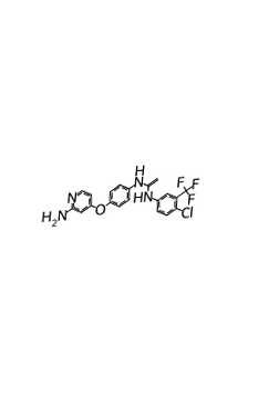 C=C(Nc1ccc(Oc2ccnc(N)c2)cc1)Nc1ccc(Cl)c(C(F)(F)F)c1